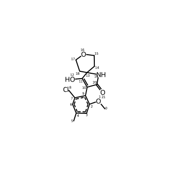 COc1cc(C)cc(Cl)c1C1=C(O)C2(CCOCC2)NC1=O